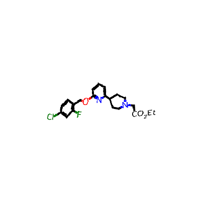 CCOC(=O)CN1CCC(c2cccc(OCc3ccc(Cl)cc3F)n2)CC1